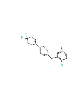 Cc1ccc(F)c(Cc2ccc(C3=CCC(F)(F)CC3)cc2)c1